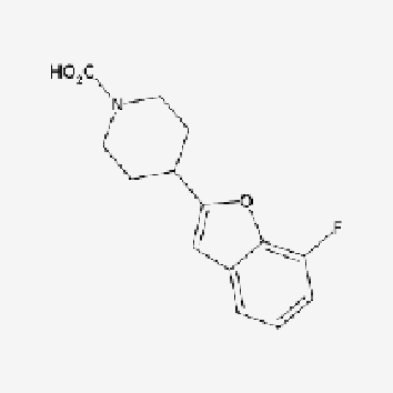 O=C(O)N1CCC(c2cc3cccc(F)c3o2)CC1